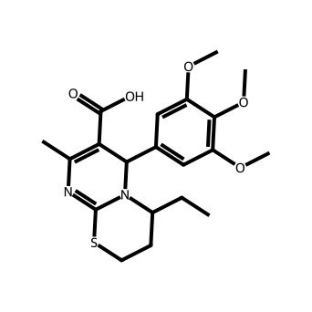 CCC1CCSC2=NC(C)=C(C(=O)O)C(c3cc(OC)c(OC)c(OC)c3)N21